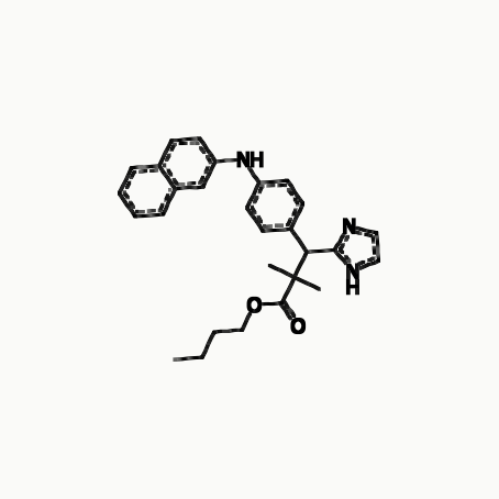 CCCCOC(=O)C(C)(C)C(c1ccc(Nc2ccc3ccccc3c2)cc1)c1ncc[nH]1